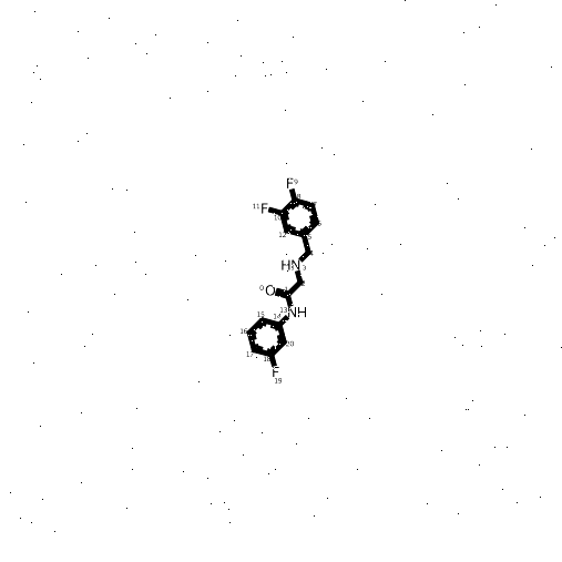 O=C(CNCc1ccc(F)c(F)c1)Nc1cccc(F)c1